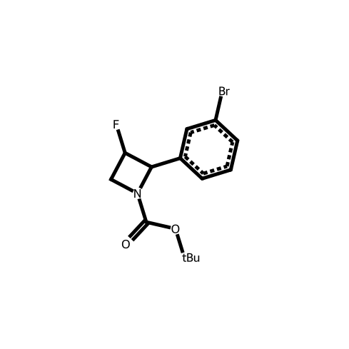 CC(C)(C)OC(=O)N1CC(F)C1c1cccc(Br)c1